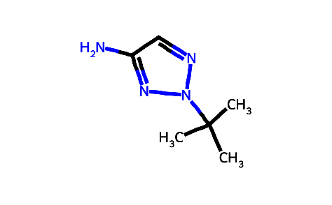 CC(C)(C)n1ncc(N)n1